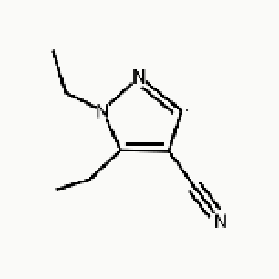 CCc1c(C#N)[c]nn1CC